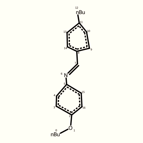 CCCCOc1ccc(N=Cc2ccc(CCCC)cc2)cc1